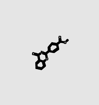 COC(=O)c1ccc(-c2nc(=O)c3ccccc3o2)cc1